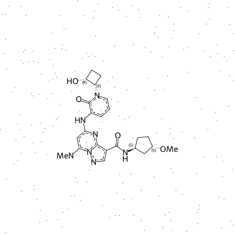 CNc1cc(Nc2cccn([C@H]3CC[C@H]3O)c2=O)nc2c(C(=O)N[C@H]3CC[C@H](OC)C3)cnn12